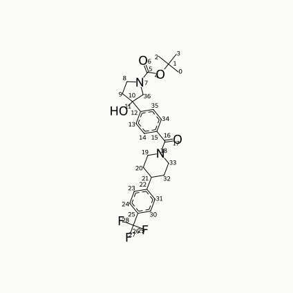 CC(C)(C)OC(=O)N1CCC(O)(c2ccc(C(=O)N3CCC(c4ccc(C(F)(F)F)cc4)CC3)cc2)C1